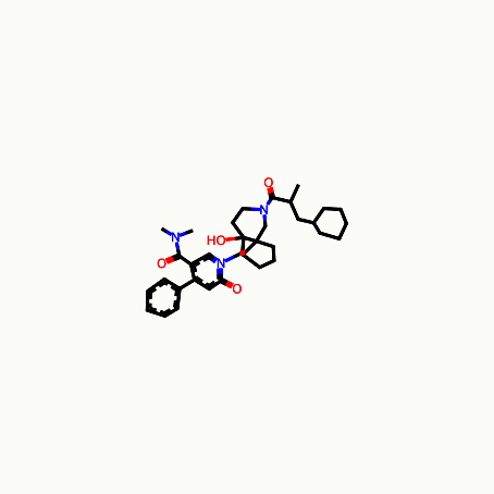 CC(CC1CCCCC1)C(=O)N1CCC(O)(Cn2cc(C(=O)N(C)C)c(-c3ccccc3)cc2=O)C2(CCCC2)C1